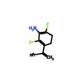 C=C(CCC)C1=C(F)C(N)=C(F)CC1